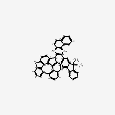 CC1(C)c2ccccc2-c2ccc(-c3nc4c(ccc5ccccc54)nc3-n3c4ccc5cccc6c5c4c4c5c(ccc43)oc3cccc-6c35)cc21